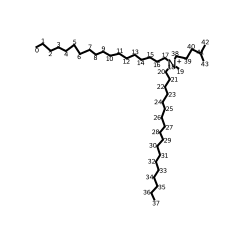 CCCCCCCCCCCCCCCCCC[N+](C)(CCCCCCCCCCCCCCCCCC)CCCC(C)C